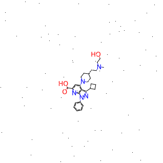 CN(CCO)CCC1CCN(c2cc(C(=O)O)nc3c2c(C2CCC2)nn3-c2ccccc2)CC1